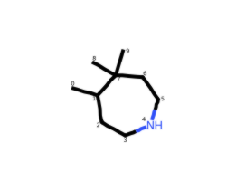 CC1CCNCCC1(C)C